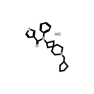 Cl.O=C(c1ccsc1)N(c1ccccc1)C1CC2(CCN(CC3CCCC3)CC2)C1